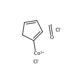 [C]=O.[Cl-].[Cl-].[Co+2][C]1=CC=CC1